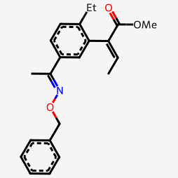 C/C=C(/C(=O)OC)c1cc(C(C)=NOCc2ccccc2)ccc1CC